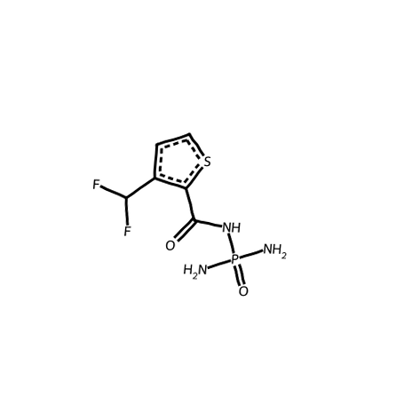 NP(N)(=O)NC(=O)c1sccc1C(F)F